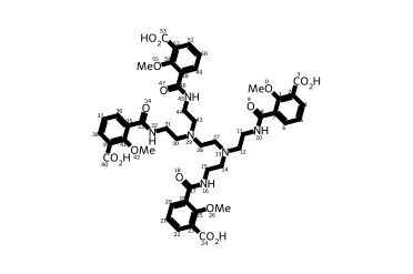 COc1c(C(=O)O)cccc1C(=O)NCCN(CCNC(=O)c1cccc(C(=O)O)c1OC)CCN(CCNC(=O)c1cccc(C(=O)O)c1OC)CCNC(=O)c1cccc(C(=O)O)c1OC